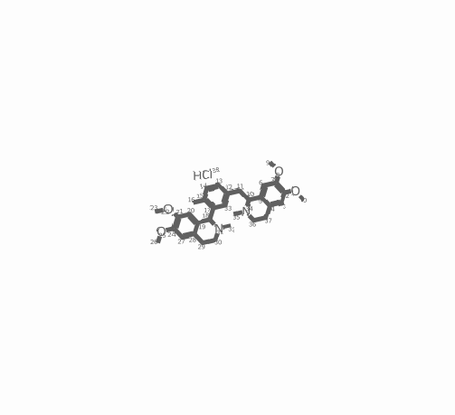 COc1cc2c(cc1OC)C(Cc1ccc(C)c(C3c4cc(OC)c(OC)cc4CCN3C)c1)N(C)CC2.Cl